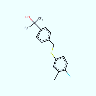 Cc1cc(SCc2ccc(C(O)(C(F)(F)F)C(F)(F)F)cc2)ccc1F